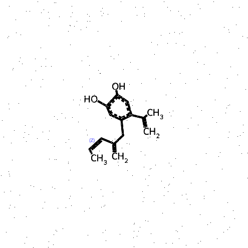 C=C(/C=C\C)Cc1cc(O)c(O)cc1C(=C)C